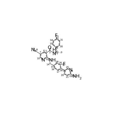 C[C@H](NC(=O)c1cc(C#N)cnc1NCc1ccc(-c2ccc(N)nc2)c(F)c1)c1ccc(F)cc1